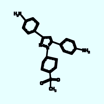 CS(=O)(=O)c1ccc(-n2nc(-c3ccc(N)cc3)cc2-c2ccc(N)cc2)cc1